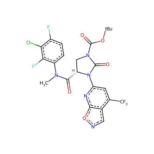 CN(C(=O)[C@@H]1CN(C(=O)OC(C)(C)C)C(=O)N1c1cc(C(F)(F)F)c2cnoc2n1)c1ccc(F)c(Cl)c1F